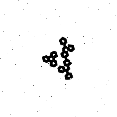 C(=C(c1ccccc1)c1ccccc1)c1ccc(-c2ccc(C=C(c3ccccc3)c3ccccc3)cc2)cc1.c1ccc2c(c1)c1ccccc1c1ccccc21